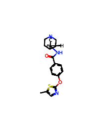 Cc1cnc(Oc2ccc(C(=O)N[C@H]3CN4CCC3CC4)cc2)s1